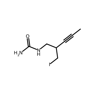 CC#CC(CI)CNC(N)=O